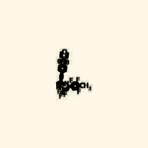 Cc1c(F)cc(-c2cc(C(F)(F)F)n3ncc(C#Cc4ccc(S(=O)(=O)N5CCOCC5)cc4)c3n2)c(F)c1F